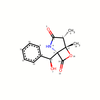 C[C@H]1C(=O)N[C@@]2([C@@H](O)c3ccccc3)C(=O)O[C@@]12C